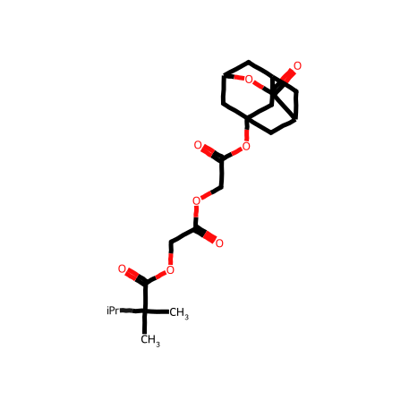 CC(C)C(C)(C)C(=O)OCC(=O)OCC(=O)OC12CC3CC(C1)OC(=O)C(C3)C2